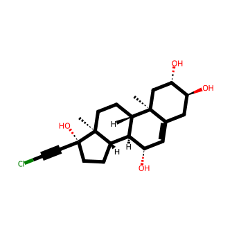 C[C@]12C[C@H](O)[C@@H](O)CC1=C[C@H](O)[C@@H]1[C@@H]2CC[C@@]2(C)[C@H]1CC[C@@]2(O)C#CCl